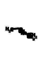 CCCCCCC/C=C\CC(=O)Oc1cnc(-c2ccc(CCC(C)OC(C)=O)cc2)nc1